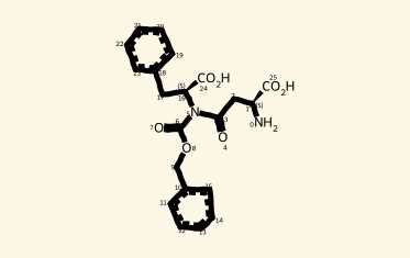 N[C@@H](CC(=O)N(C(=O)OCc1ccccc1)[C@@H](Cc1ccccc1)C(=O)O)C(=O)O